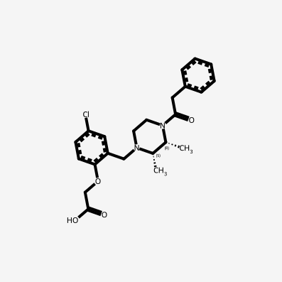 C[C@@H]1[C@H](C)N(Cc2cc(Cl)ccc2OCC(=O)O)CCN1C(=O)Cc1ccccc1